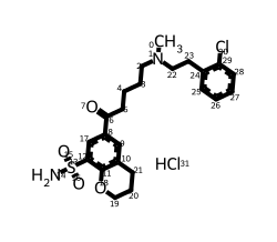 CN(CCCCC(=O)c1cc2c(c(S(N)(=O)=O)c1)OCCC2)CCc1ccccc1Cl.Cl